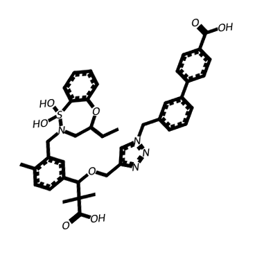 CCC1CN(Cc2cc(C(OCc3cn(Cc4cccc(-c5ccc(C(=O)O)cc5)c4)nn3)C(C)(C)C(=O)O)ccc2C)S(O)(O)c2ccccc2O1